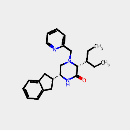 CCC(CC)[C@@H]1C(=O)N[C@H](C2Cc3ccccc3C2)CN1Cc1ccccn1